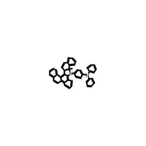 CC12c3ccccc3C=CC1c1c(c3ccccc3c3ccc4ccccc4c13)N2c1ccc(N(c2ccccc2)c2ccccc2)cc1